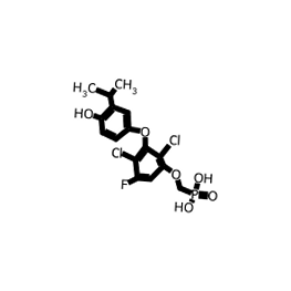 CC(C)c1cc(Oc2c(Cl)c(F)cc(OCP(=O)(O)O)c2Cl)ccc1O